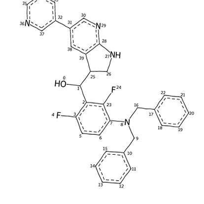 OC(c1c(F)ccc(N(Cc2ccccc2)Cc2ccccc2)c1F)C1CNc2ncc(-c3cccnc3)cc21